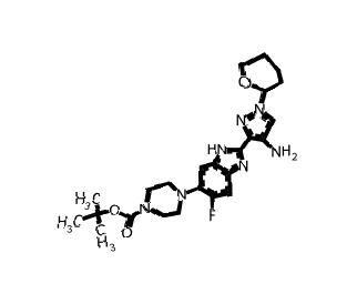 CC(C)(C)OC(=O)N1CCN(c2cc3[nH]c(-c4nn(C5CCCCO5)cc4N)nc3cc2F)CC1